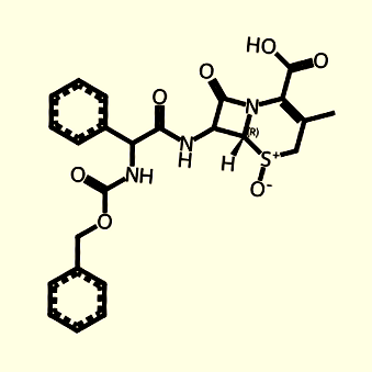 CC1=C(C(=O)O)N2C(=O)C(NC(=O)C(NC(=O)OCc3ccccc3)c3ccccc3)[C@H]2[S+]([O-])C1